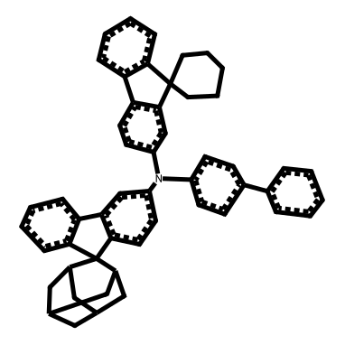 c1ccc(-c2ccc(N(c3ccc4c(c3)-c3ccccc3C43C4CC5CC(C4)CC3C5)c3ccc4c(c3)C3(CCCCC3)c3ccccc3-4)cc2)cc1